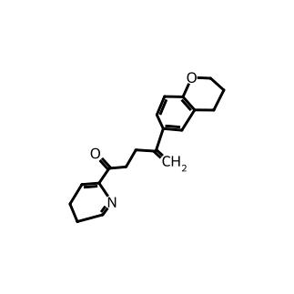 C=C(CCC(=O)C1=CCCC=N1)c1ccc2c(c1)CCCO2